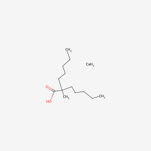 CCCCCC(C)(CCCCC)C(=O)O.[CaH2]